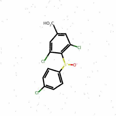 O=C(O)c1cc(Cl)c([S+]([O-])c2ccc(Cl)cc2)c(Cl)c1